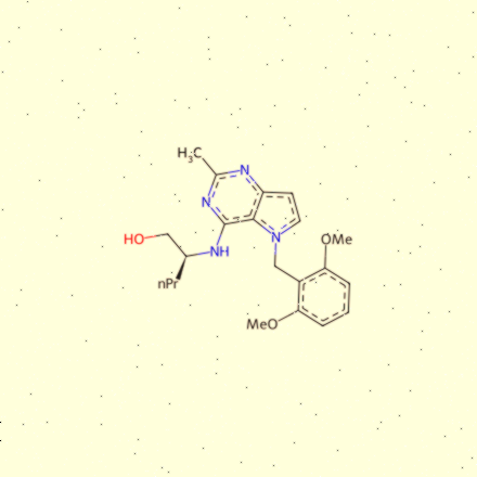 CCC[C@@H](CO)Nc1nc(C)nc2ccn(Cc3c(OC)cccc3OC)c12